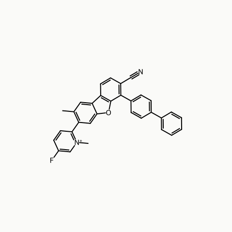 Cc1cc2c(cc1-c1ccc(F)c[n+]1C)oc1c(-c3ccc(-c4ccccc4)cc3)c(C#N)ccc12